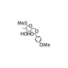 COc1ccc(C2OCC3O[C@@H](SC)C(C)[C@@H](O)[C@@H]3O2)cc1